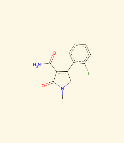 CN1CC(c2ccccc2F)=C(C(N)=O)C1=O